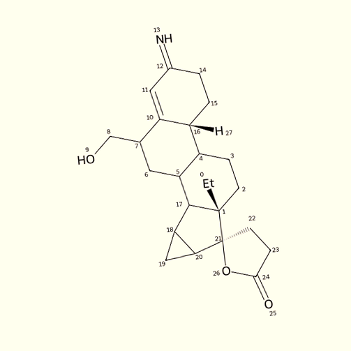 CC[C@]12CCC3C(CC(CO)C4=CC(=N)CC[C@@H]43)C1C1CC1[C@@]21CCC(=O)O1